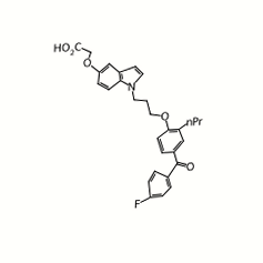 CCCc1cc(C(=O)c2ccc(F)cc2)ccc1OCCCn1ccc2cc(OCC(=O)O)ccc21